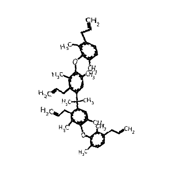 C=CCc1ccc(C)c(Oc2c(C)cc(C(C)(C)c3cc(C)c(Oc4c(C)ccc(CC=C)c4C)c(C)c3CC=C)c(CC=C)c2C)c1C